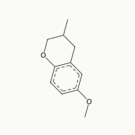 COc1ccc2c(c1)CC(C)CO2